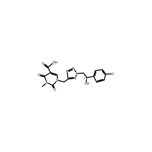 Cn1c(=O)c(C(=O)O)cn(Cc2nnn(C[C@H](O)c3ccc(Cl)cc3)n2)c1=O